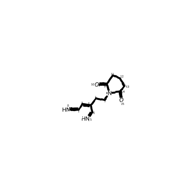 N=C/C=C(\C=N)CCN1C(=O)CCCC1=O